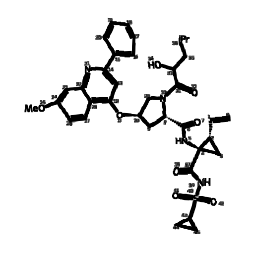 C=C[C@@H]1C[C@]1(NC(=O)[C@@H]1C[C@@H](Oc2cc(-c3ccccc3)nc3cc(OC)ccc23)CN1C(=O)C(O)CC(C)C)C(=O)NS(=O)(=O)C1CC1